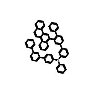 c1ccc(-c2cccc(-c3ccc(N(c4ccccc4)c4cccc(-c5ccc(-c6ccccc6)c(-c6cc7c8ccccc8ccc7c7ccccc67)c5)c4)cc3)c2)cc1